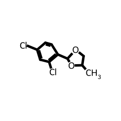 CC1COC(c2ccc(Cl)cc2Cl)O1